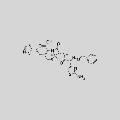 Nc1nc(C(=NOCc2ccccc2)C(=O)NC2C(=O)N3C(C(=O)O)=C(CSc4nncs4)CS[C@@H]23)cs1